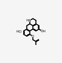 C=C(C)COc1cccc2c1-c1cc(O)cc3c1C(C2)NCC3.Cl